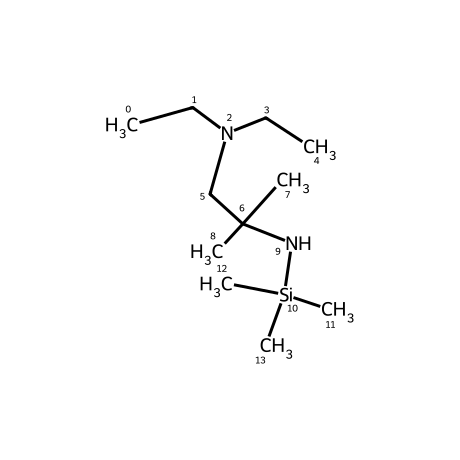 CCN(CC)CC(C)(C)N[Si](C)(C)C